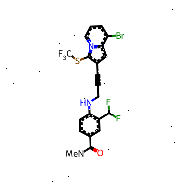 CNC(=O)c1ccc(NCC#Cc2cc3c(Br)cccn3c2SC(F)(F)F)c(C(F)F)c1